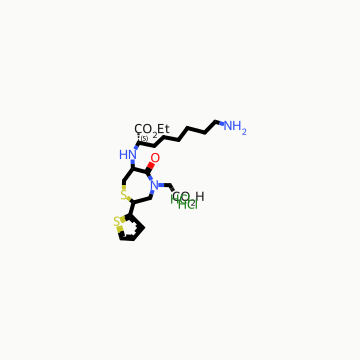 CCOC(=O)[C@H](CCCCCCN)NC1CSC(c2cccs2)CN(CC(=O)O)C1=O.Cl.Cl